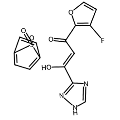 O=C(C=C(O)c1nc[nH]n1)c1occc1F.O=S1(=O)C2=CC=C1C=C2